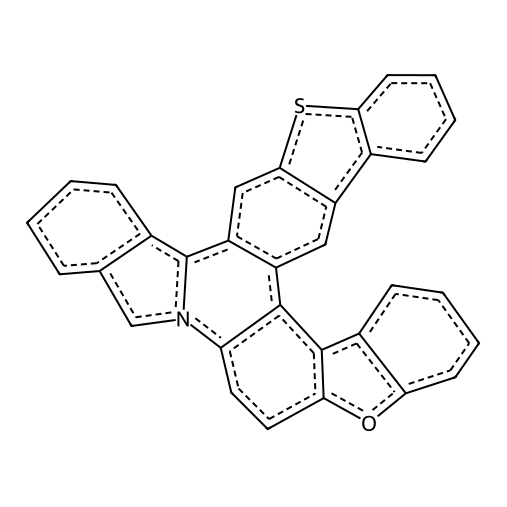 c1ccc2c(c1)cn1c3ccc4oc5ccccc5c4c3c3cc4c(cc3c21)sc1ccccc14